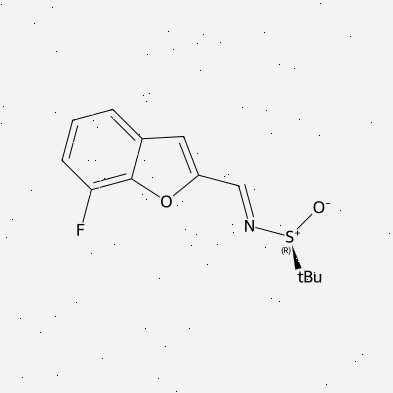 CC(C)(C)[S@+]([O-])N=Cc1cc2cccc(F)c2o1